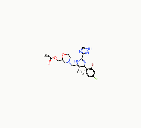 CCOC(=O)C1=C(CN2CCOC(COC(=O)C(C)(C)C)C2)NC(c2nc[nH]n2)=NC1c1ccc(F)cc1Br